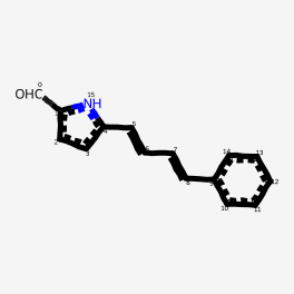 O=Cc1ccc(C=C/C=C/c2ccccc2)[nH]1